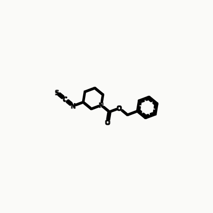 O=C(OCc1ccccc1)N1CCCC(N=C=S)C1